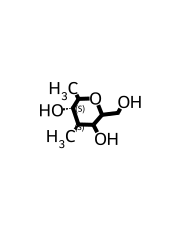 CC1OC(CO)C(O)[C@@H](C)[C@@H]1O